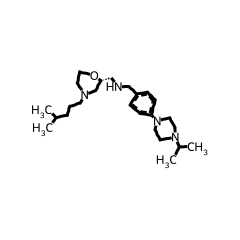 CC(C)CCCN1CCO[C@H](CNCc2ccc(N3CCN(C(C)C)CC3)cc2)C1